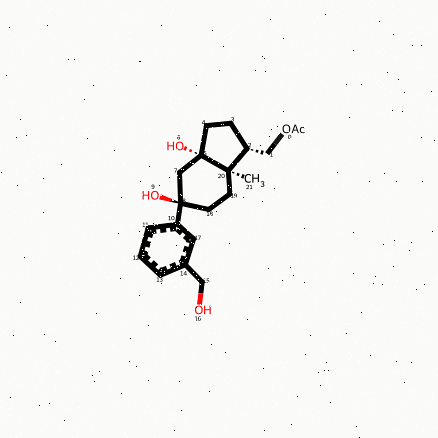 CC(=O)OC[C@H]1CC[C@]2(O)C[C@@](O)(c3cccc(CO)c3)CC[C@]12C